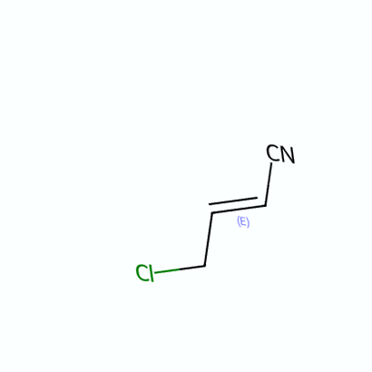 N#C/C=C/CCl